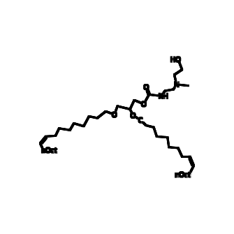 CCCCCCCC/C=C\CCCCCCCCOCC(COC(=O)NCCN(C)CCO)OCCCCCCCC/C=C\CCCCCCCC